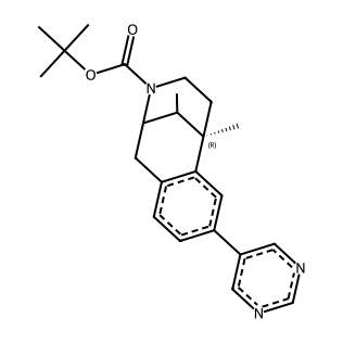 CC1C2Cc3ccc(-c4cncnc4)cc3[C@]1(C)CCN2C(=O)OC(C)(C)C